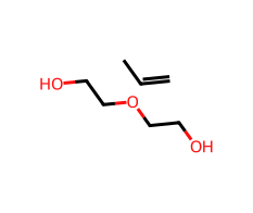 C=CC.OCCOCCO